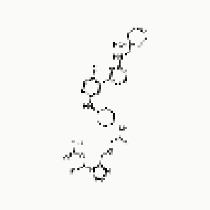 CC(C)[C@@H](OC(=O)C(C)(C)C)n1nnnc1COC[C@H](C)N[C@H]1CC[C@H](Nc2cc(-c3cccc(NCC4(C#N)CCOCC4)n3)c(Cl)cn2)CC1